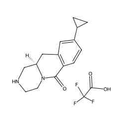 O=C(O)C(F)(F)F.O=C1c2ccc(C3CC3)cc2C[C@@H]2CNCCN12